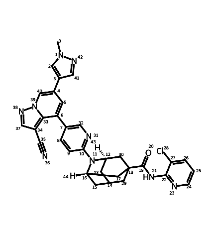 Cn1cc(-c2cc(-c3ccc(N4[C@@H]5CC6C[C@H]4CC(C(=O)Nc4ncccc4Cl)(C6)C5)nc3)c3c(C#N)cnn3c2)cn1